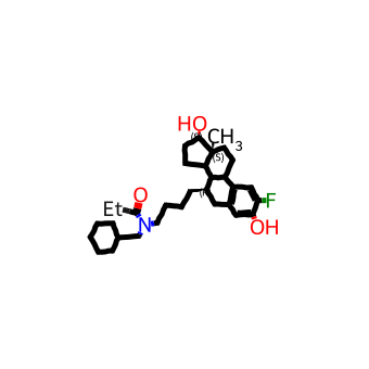 CCC(=O)N(CCCC[C@@H]1Cc2cc(O)c(F)cc2C2CC[C@@]3(C)C(CC[C@@H]3O)C21)CC1CCCCC1